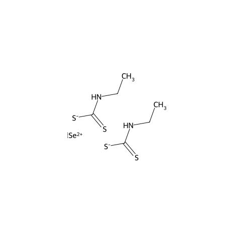 CCNC(=S)[S-].CCNC(=S)[S-].[Se+2]